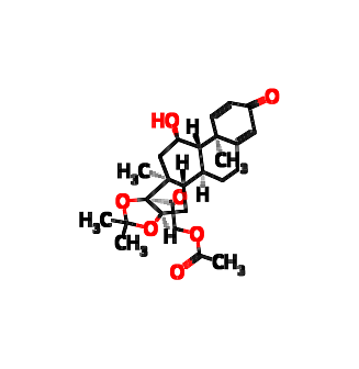 CC(=O)OCC(=O)[C@@]12OC(C)(C)O[C@@H]1C[C@H]1[C@@H]3CCC4=CC(=O)C=C[C@]4(C)[C@H]3[C@H](O)C[C@@]12C